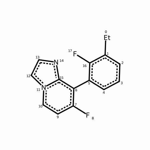 CCc1cccc(-c2c(F)ccn3ccnc23)c1F